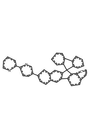 c1ccc(-c2ccc(-c3ccc4cc5c(cc4c3)C3(c4ccccc4-c4ccccc43)c3c-5ccc4ccccc34)cn2)nc1